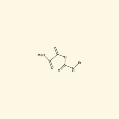 C=C(OC(=O)NCC)C(=O)OC